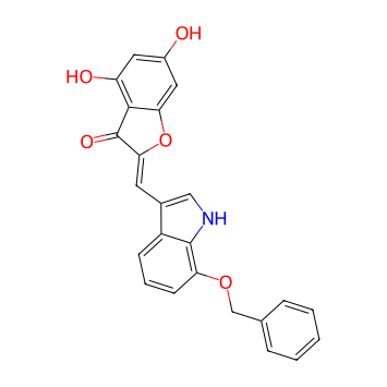 O=C1/C(=C/c2c[nH]c3c(OCc4ccccc4)cccc23)Oc2cc(O)cc(O)c21